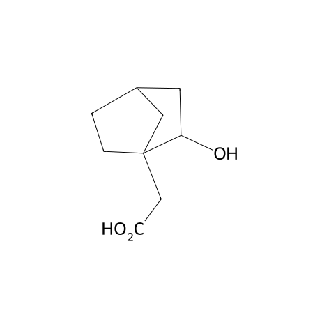 O=C(O)CC12CCC(CC1O)C2